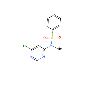 CCCCN(c1cc(Cl)ncn1)S(=O)(=O)c1ccccc1